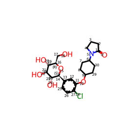 O=C1CCCN1C1CCC(Oc2cc([C@@H]3O[C@H](CO)[C@@H](O)[C@H](O)[C@H]3O)ccc2Cl)CC1